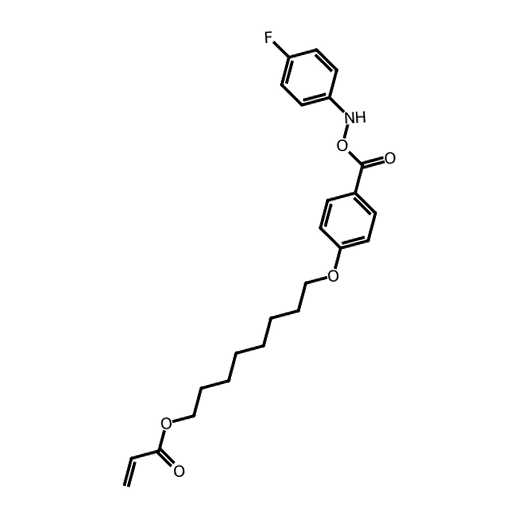 C=CC(=O)OCCCCCCCCOc1ccc(C(=O)ONc2ccc(F)cc2)cc1